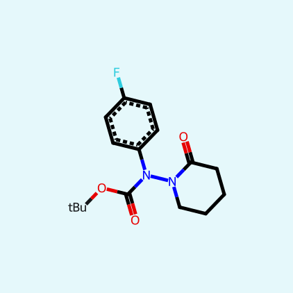 CC(C)(C)OC(=O)N(c1ccc(F)cc1)N1CCCCC1=O